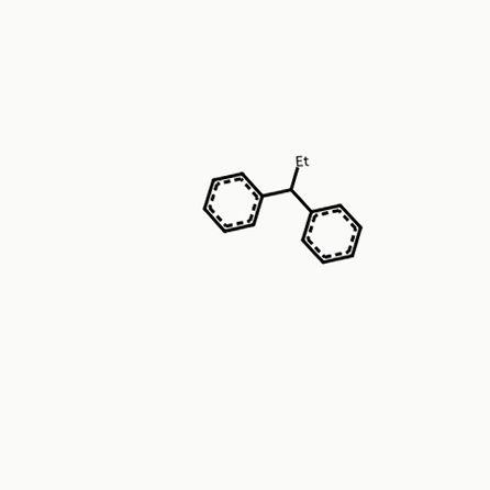 CC[C](c1ccccc1)c1ccccc1